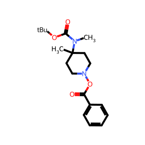 CN(C(=O)OC(C)(C)C)C1(C)CCN(OC(=O)c2ccccc2)CC1